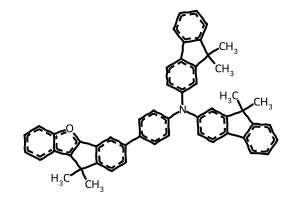 CC1(C)c2ccccc2-c2ccc(N(c3ccc(-c4ccc5c(c4)-c4oc6ccccc6c4C5(C)C)cc3)c3ccc4c(c3)C(C)(C)c3ccccc3-4)cc21